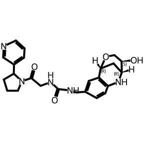 O=C(NCC(=O)N1CCCC1c1cccnc1)NCc1ccc2c(c1)[C@H]1C[C@@H](N2)[C@H](O)CO1